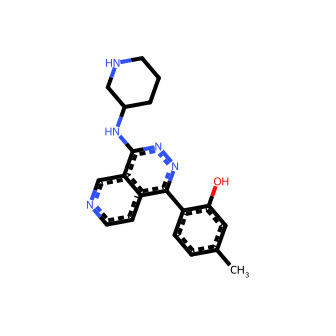 Cc1ccc(-c2nnc(NC3CCCNC3)c3cnccc23)c(O)c1